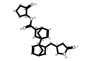 O=C1CC(CC2CC3C=CC2(C24C=CC(C2)C(C(=O)OC2CCCC2=O)C4)C3)CO1